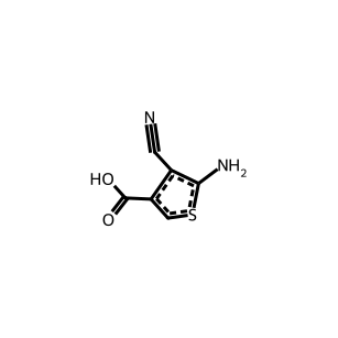 N#Cc1c(C(=O)O)csc1N